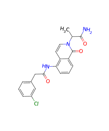 CC(C(N)=O)n1ccc2c(NC(=O)Cc3cccc(Cl)c3)cccc2c1=O